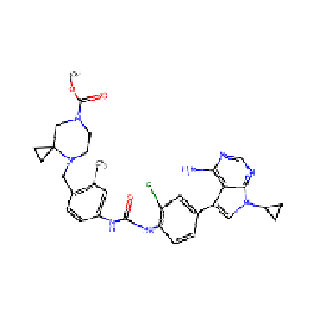 CC(C)(C)OC(=O)N1CCN(Cc2ccc(NC(=O)Nc3ccc(-c4cn(C5CC5)c5ncnc(N)c45)cc3F)cc2C(F)(F)F)C2(CC2)C1